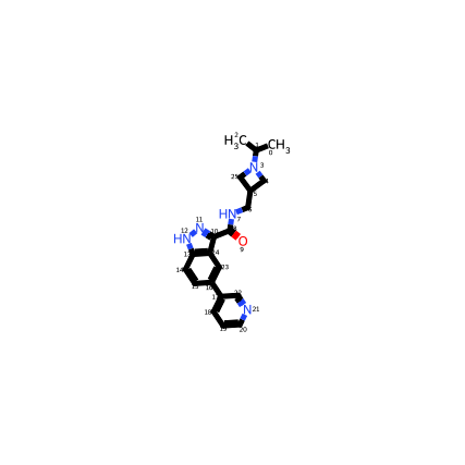 CC(C)N1CC(CNC(=O)c2n[nH]c3ccc(-c4cccnc4)cc23)C1